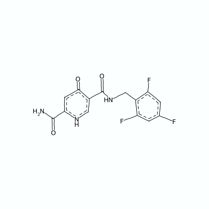 NC(=O)c1cc(=O)c(C(=O)NCc2c(F)cc(F)cc2F)c[nH]1